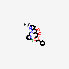 Cc1ccc2c(=O)c(C(=O)C3=COC=C(C4=CC=CCC4)O3)cn(Cc3cccc(Br)n3)c2n1